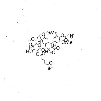 COc1cc([C@@H]2c3cc4c(cc3[C@@H](O[C@@H]3O[C@@H]5CO[C@@H](C)O[C@H]5[C@H](O)[C@H]3OC(=O)CCCC(=O)C(C)C)[C@H]3COC(=O)[C@H]23)OCO4)cc(OC)c1OC(=O)CN(C)C